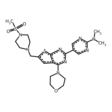 CN(C)c1ncc(-c2nc(N3CCOCC3)c3cc(CN4CCN(S(C)(=O)=O)CC4)sc3n2)cn1